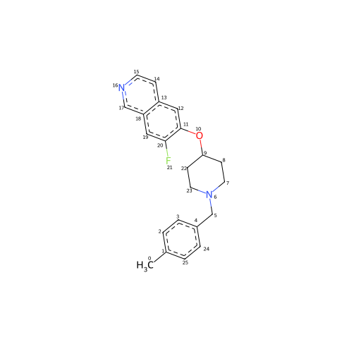 Cc1ccc(CN2CCC(Oc3cc4ccncc4cc3F)CC2)cc1